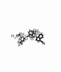 CN(C)c1nc(OCC[C@]23CC[C@](C)(O2)[C@@H]2C(=O)N(c4ccc(C#N)c5ccccc45)C(=O)[C@@H]23)cc(C(F)(F)F)n1